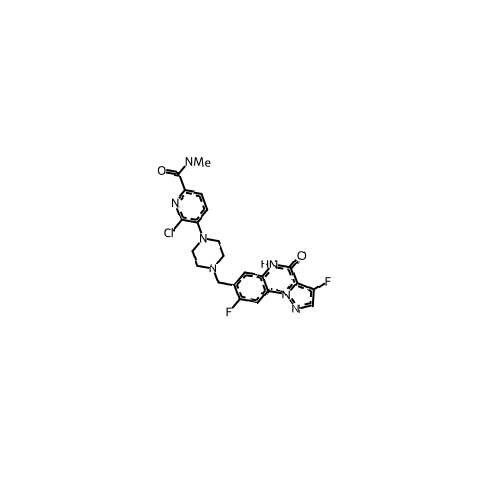 CNC(=O)c1ccc(N2CCN(Cc3cc4[nH]c(=O)c5c(F)cnn5c4cc3F)CC2)c(Cl)n1